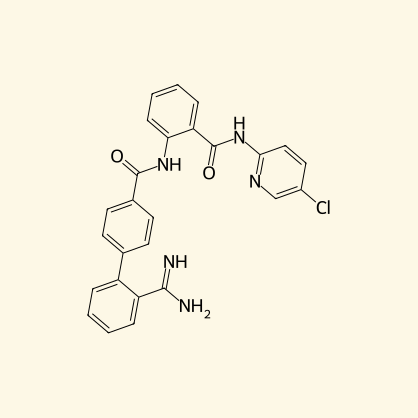 N=C(N)c1ccccc1-c1ccc(C(=O)Nc2ccccc2C(=O)Nc2ccc(Cl)cn2)cc1